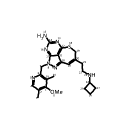 COc1c(C)cnc(Cn2nc3c4c(nc(N)nc42)SCC(CCNC2CCC2)=C3)c1C